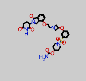 NC(=O)OC1CCN(S(=O)(=O)c2cccc(OC3CN(CCOc4cccc5c4CN(C4CCC(=O)NC4=O)C5=O)C3)c2)CC1